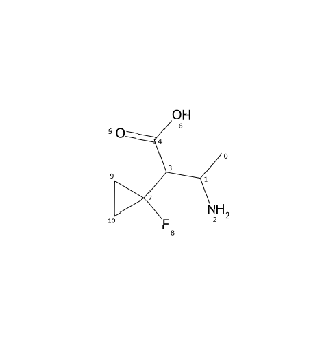 CC(N)C(C(=O)O)C1(F)CC1